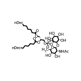 CCCCCCCCCCCCCCCC(=O)OC[C@H](COP(=O)(O)O[C@@H]1[C@H](O)[C@H](O)[C@@H](O)[C@H](O)[C@H]1O[C@H]1O[C@H](C)[C@@H](O)[C@H](O)[C@H]1NC(C)=O)OC(=O)CCCCCCCCCCCCCCC